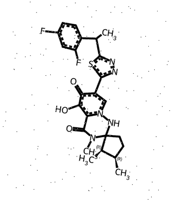 CC(c1nnc(-c2cn3c(c(O)c2=O)C(=O)N(C)C2(CC[C@@H](C)[C@H]2C)N3)s1)c1ccc(F)cc1F